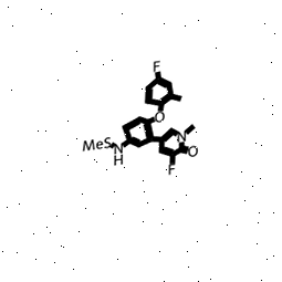 CSNc1ccc(Oc2ccc(F)cc2C)c(-c2cc(F)c(=O)n(C)c2)c1